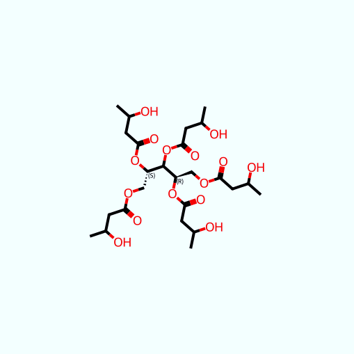 CC(O)CC(=O)OC[C@H](OC(=O)CC(C)O)C(OC(=O)CC(C)O)[C@@H](COC(=O)CC(C)O)OC(=O)CC(C)O